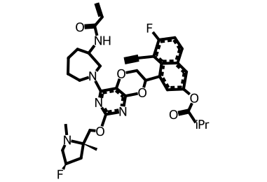 C#Cc1c(F)ccc2cc(OC(=O)C(C)C)cc(C3COc4c(nc(OC[C@]5(C)C[C@@H](F)CN5C)nc4N4CCCCC(NC(=O)C=C)C4)O3)c12